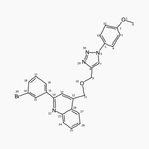 COc1ccc(-n2cc(COCc3cc(-c4cccc(Br)c4)nc4ccccc34)nn2)cc1